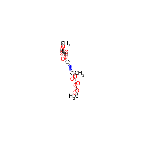 C=CC(=O)OCCOC(=O)CCC(=O)Oc1ccc(/C=N/N=C/c2ccc(C(=O)OC3CO[C@H]4[C@@H]3OC[C@H]4OOCC)cc2)cc1C